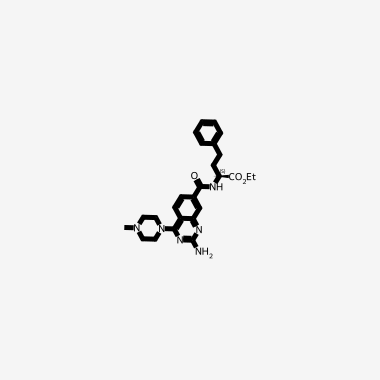 CCOC(=O)[C@H](CCc1ccccc1)NC(=O)c1ccc2c(N3CCN(C)CC3)nc(N)nc2c1